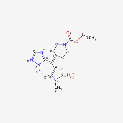 CCOC(=O)N1CCC(=C2c3ccn(C)c3CCn3ncnc32)CC1.O